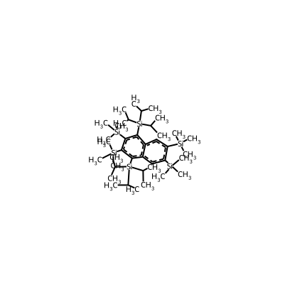 CC(C)[Si](c1c([Si](C)(C)C)c([Si](C)(C)C)c([Si](C(C)C)(C(C)C)C(C)C)c2cc([Si](C)(C)C)c([Si](C)(C)C)cc12)(C(C)C)C(C)C